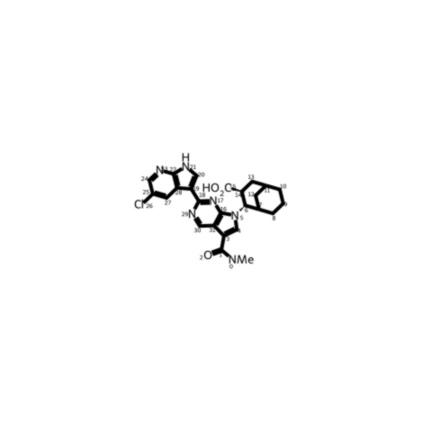 CNC(=O)c1cn([C@H]2C3CCCC(C3)C[C@@H]2C(=O)O)c2nc(-c3c[nH]c4ncc(Cl)cc34)ncc12